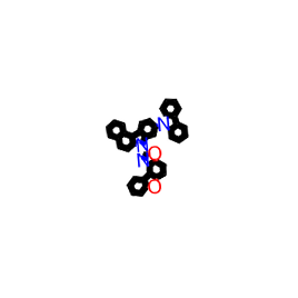 c1ccc2c(c1)ccc1c2c2ccc(-n3c4ccccc4c4ccccc43)cc2n1-c1nc2c(ccc3oc4ccccc4c32)o1